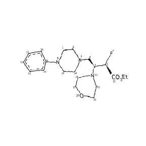 CCOC(=O)[C@H](F)[C@H](CN1CCN(c2ccccc2)CC1)N1CCOCC1